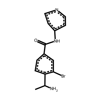 CC(N)c1ccc(C(=O)Nc2ccncc2)cc1Br